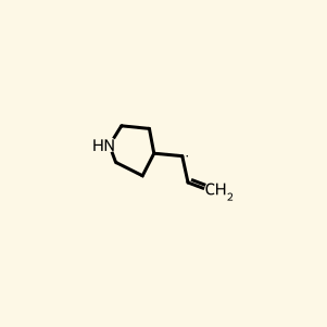 C=C[CH]C1CCNCC1